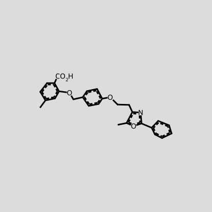 Cc1ccc(C(=O)O)c(OCc2ccc(OCCc3nc(-c4ccccc4)oc3C)cc2)c1